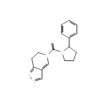 O=C(N1C=C2C=NN=C2CC1)N1CCCC1c1ccccc1